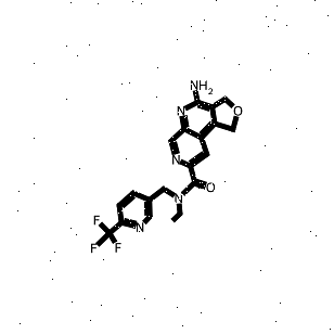 CCN(Cc1ccc(C(F)(F)F)nc1)C(=O)c1cc2c3c(c(N)nc2cn1)COC3